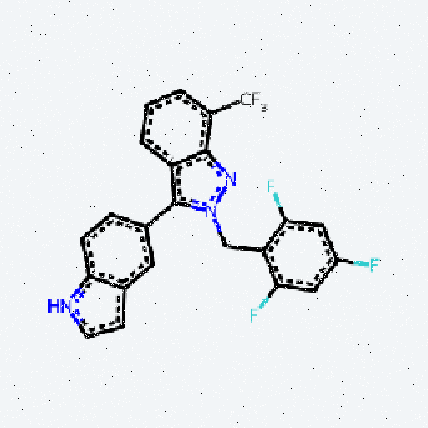 Fc1cc(F)c(Cn2nc3c(C(F)(F)F)cccc3c2-c2ccc3[nH]ccc3c2)c(F)c1